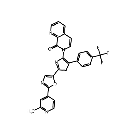 Cc1cc(-c2ncc(C3=NC(n4ccc5cccnc5c4=O)=C(c4ccc(C(F)(F)F)cc4)C3)o2)ccn1